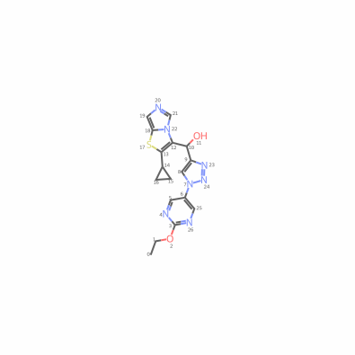 CCOc1ncc(-n2cc(C(O)c3c(C4CC4)sc4cncn34)nn2)cn1